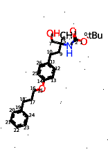 CC(C)(C)OC(=O)N[C@@](C)(CO)CCc1ccc(OCCCc2ccccc2)cc1